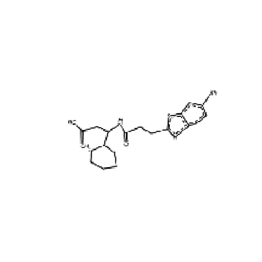 C=C(C#N)CC(NC(=O)CCc1nc2ccc(C(C)C)cc2s1)C1CCCCC1